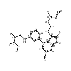 CCC(C)N(C)CNc1cccc(-c2cc(F)cc3nc(C)n(CCCN(C)C=O)c23)n1